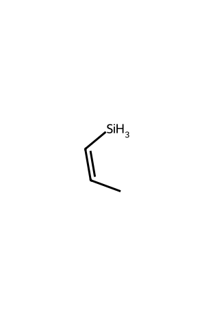 C/C=C\[SiH3]